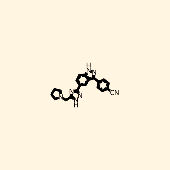 N#Cc1ccc(-c2n[nH]c3ccc(-c4n[nH]c(CN5CCCC5)n4)cc23)cc1